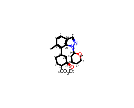 CCOC(=O)C1CCC(c2c(C)ccc3cnn(C4CCCCO4)c23)CC1=O